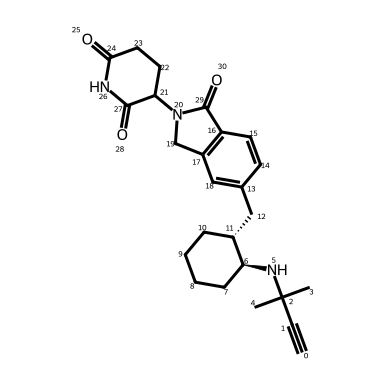 C#CC(C)(C)N[C@H]1CCCC[C@@H]1Cc1ccc2c(c1)CN(C1CCC(=O)NC1=O)C2=O